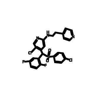 O=S(=O)(c1ccc(Cl)cc1)C(c1cc(F)ccc1F)c1cc(NCCc2ccncc2)ncc1Cl